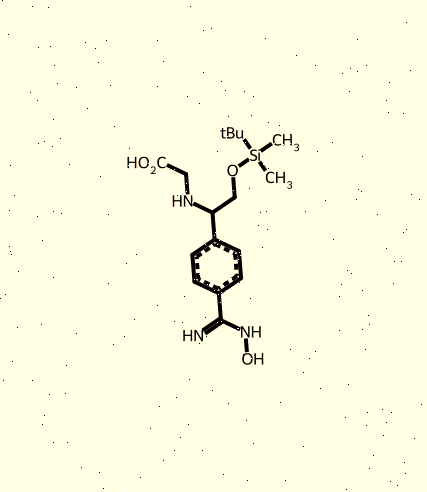 CC(C)(C)[Si](C)(C)OCC(NCC(=O)O)c1ccc(C(=N)NO)cc1